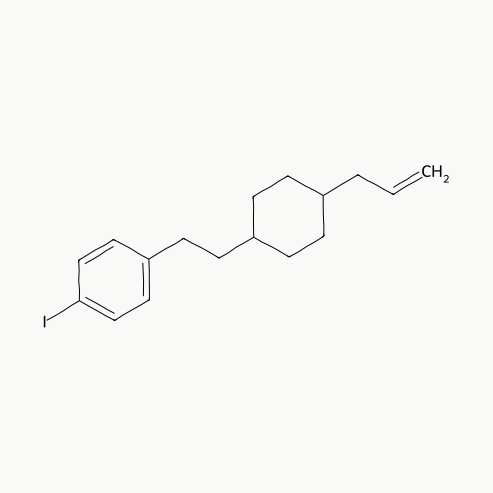 C=CCC1CCC(CCc2ccc(I)cc2)CC1